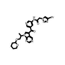 CC(C)c1cn(CC(=O)Nc2cncc(C(=O)c3cn(C(C)COC4CCCCO4)c4ncncc34)c2)nn1